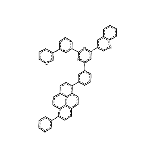 c1ccc(-c2ccc3ccc4c(-c5cccc(-c6cc(-c7cnc8ccccc8c7)nc(-c7cccc(-c8cccnc8)c7)n6)c5)ccc5ccc2c3c54)cc1